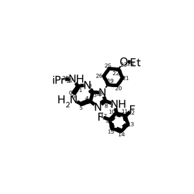 C=C(/N=C1\C(=C/N)N=C(Nc2c(F)cccc2F)N1[C@H]1CC[C@@H](OCC)CC1)NC(C)C